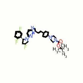 CC(C)(C)OC(=O)N1CCN(c2ccc(/C=C/c3cnc4ccc(N5C[C@@H](F)C[C@@H]5c5cc(F)ccc5F)nn34)cc2)CC1